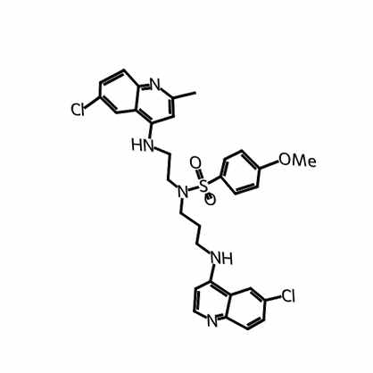 COc1ccc(S(=O)(=O)N(CCCNc2ccnc3ccc(Cl)cc23)CCNc2cc(C)nc3ccc(Cl)cc23)cc1